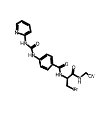 CC(C)CC(NC(=O)c1ccc(NC(=O)Nc2ccccn2)cc1)C(=O)NCC#N